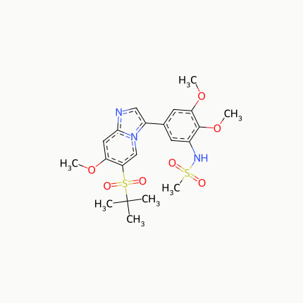 COc1cc2ncc(-c3cc(NS(C)(=O)=O)c(OC)c(OC)c3)n2cc1S(=O)(=O)C(C)(C)C